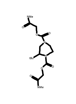 CNC(=O)COC(=O)N1CCN(C(=O)OCC(=O)NC)C(C(C)(C)C)C1